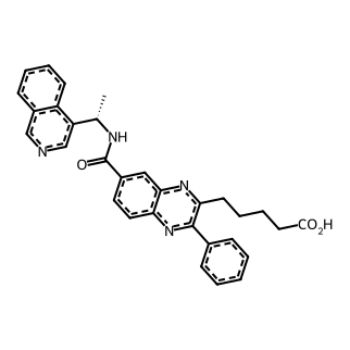 C[C@H](NC(=O)c1ccc2nc(-c3ccccc3)c(CCCCC(=O)O)nc2c1)c1cncc2ccccc12